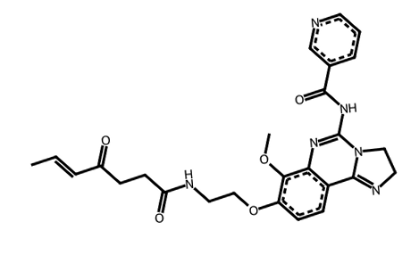 CC=CC(=O)CCC(=O)NCCOc1ccc2c(c1OC)N=C(NC(=O)c1cccnc1)N1CCN=C21